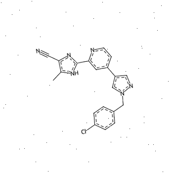 Cc1[nH]c(-c2cc(-c3cnn(Cc4ccc(Cl)cc4)c3)ccn2)nc1C#N